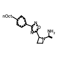 C=C(N)N1CCC1c1nc(-c2ccc(CCCCCCCC)cc2)no1